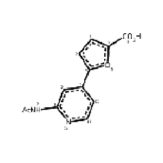 CC(=O)Nc1cc(-c2ccc(C(=O)O)o2)ccn1